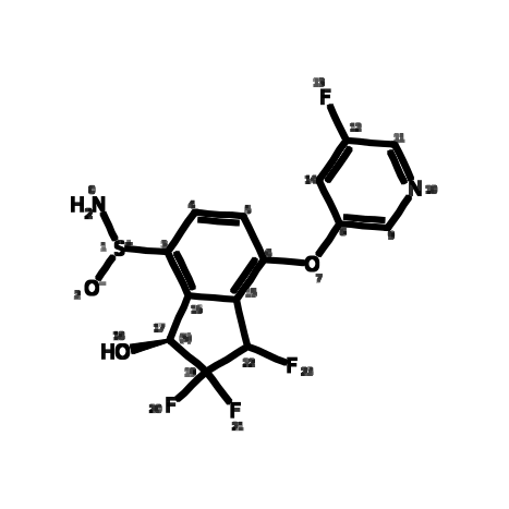 N[S+]([O-])c1ccc(Oc2cncc(F)c2)c2c1[C@H](O)C(F)(F)C2F